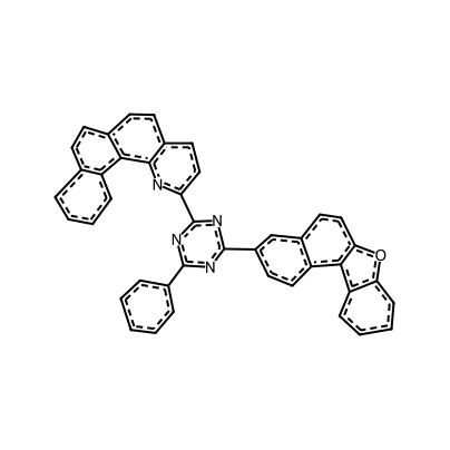 c1ccc(-c2nc(-c3ccc4c(ccc5oc6ccccc6c54)c3)nc(-c3ccc4ccc5ccc6ccccc6c5c4n3)n2)cc1